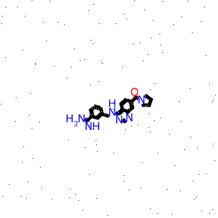 N=C(N)c1cccc(CNc2ncnc3cc(C(=O)N4CCCC4)ccc23)c1